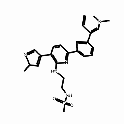 C=C/C(=C\N(C)C)c1cccc(-c2ccc(C3=CC(C)N=C3)c(NCCNS(C)(=O)=O)n2)c1